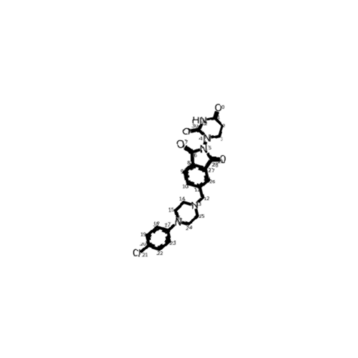 O=C1CCN(N2C(=O)c3ccc(CN4CCN(c5ccc(Cl)cc5)CC4)cc3C2=O)C(=O)N1